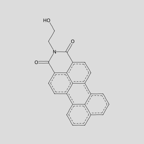 O=C1c2ccc3c4cccc5cccc(c6ccc(c2c36)C(=O)N1CCO)c54